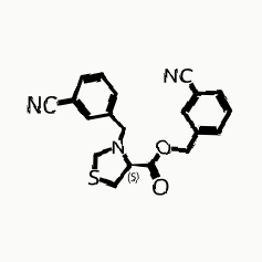 N#Cc1cccc(COC(=O)[C@H]2CSCN2Cc2cccc(C#N)c2)c1